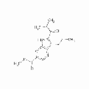 CCCc1c(C(=O)C(C)C)[nH]c2cc(C(=O)OC)ccc12